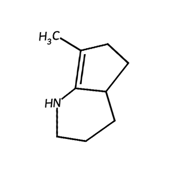 CC1=C2NCCCC2CC1